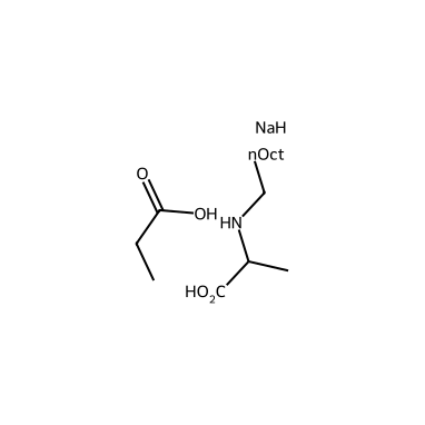 CCC(=O)O.CCCCCCCCCNC(C)C(=O)O.[NaH]